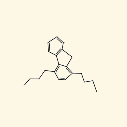 CCCCc1ccc(CCCC)c2c1Cc1[c]cccc1-2